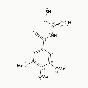 COc1cc(C(=O)N[C@@H](CS)C(=O)O)cc(OC)c1OC